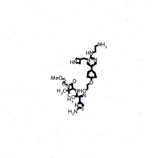 COSON1C(=O)C(NC(=O)/C(=N\OCCOc2ccc(-c3cnc(NCCN)[n+](CC4CNC4)c3)cc2)c2csc(N)n2)C1(C)C